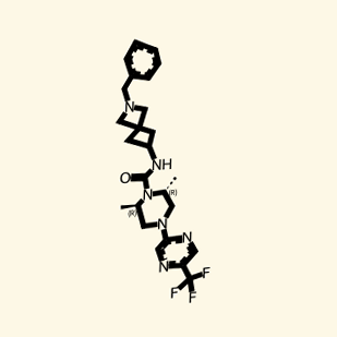 C[C@@H]1CN(c2cnc(C(F)(F)F)cn2)C[C@@H](C)N1C(=O)NC1CC2(C1)CN(Cc1ccccc1)C2